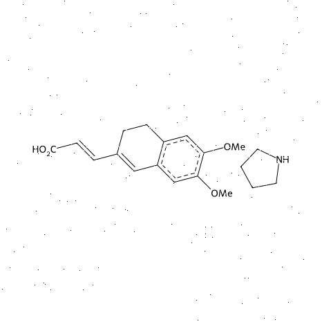 C1CCNC1.COc1cc2c(cc1OC)CCC(/C=C/C(=O)O)=C2